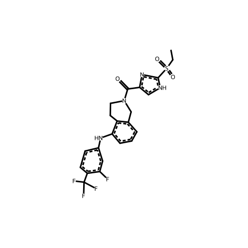 CCS(=O)(=O)c1nc(C(=O)N2CCc3c(cccc3Nc3ccc(C(F)(F)F)c(F)c3)C2)c[nH]1